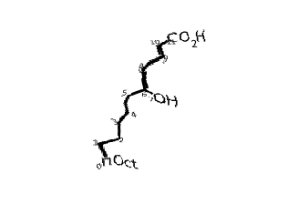 CCCCCCCCCCCCCC(O)=CC=CC(=O)O